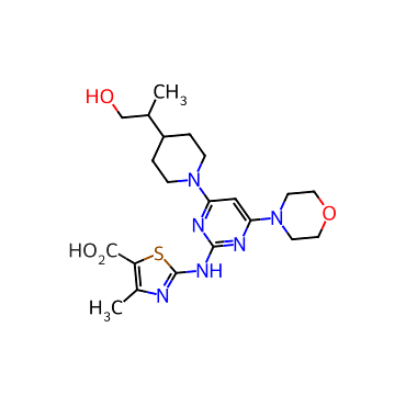 Cc1nc(Nc2nc(N3CCOCC3)cc(N3CCC(C(C)CO)CC3)n2)sc1C(=O)O